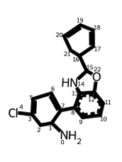 NC1CC(Cl)=CC=C1c1cccc2c1NC(C1C=CC=CC1)O2